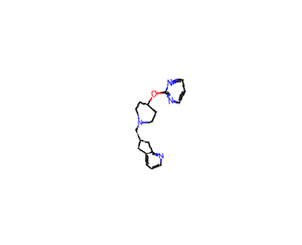 c1cnc(OC2CCN(CC3Cc4cccnc4C3)CC2)nc1